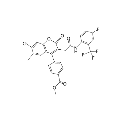 COC(=O)c1ccc(-c2c(CC(=O)Nc3ccc(F)cc3C(F)(F)F)c(=O)oc3cc(Cl)c(C)cc23)cc1